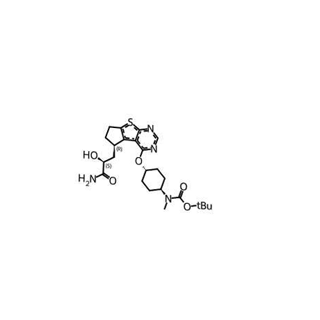 CN(C(=O)OC(C)(C)C)[C@H]1CC[C@H](Oc2ncnc3sc4c(c23)[C@@H](C[C@H](O)C(N)=O)CC4)CC1